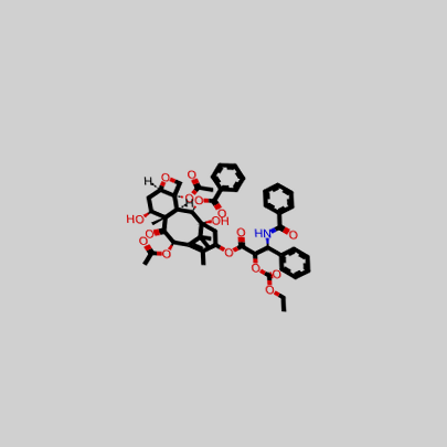 CCOC(=O)OC(C(=O)OC1C[C@@]2(O)[C@@H](OC(=O)c3ccccc3)[C@@H]3[C@]4(OC(C)=O)CO[C@@H]4C[C@H](O)[C@@]3(C)C(=O)[C@H](OC(C)=O)C(=C1C)C2(C)C)[C@@H](NC(=O)c1ccccc1)c1ccccc1